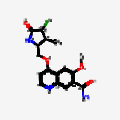 CCOc1cc2c(OCC3NC(=O)[C@@H](F)C3C)ccnc2cc1C(N)=O